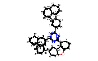 C1=CC2Oc3cccc(-c4nc(-c5ccc6c(c5)-c5cccc7cccc-6c57)nc(-c5ccc6ccccc6c5)n4)c3C2C=C1c1ccccc1